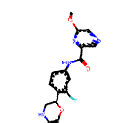 COc1cncc(C(=O)Nc2ccc([C@@H]3CNCCO3)c(F)c2)n1